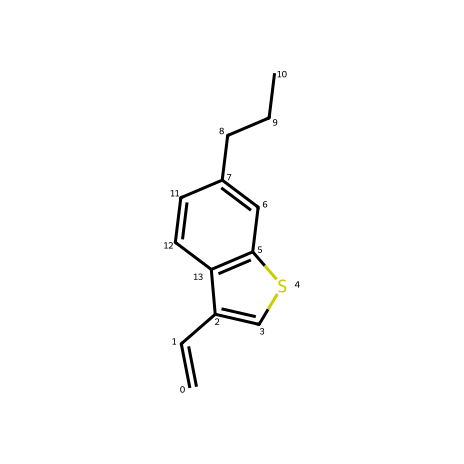 C=Cc1csc2cc(CCC)ccc12